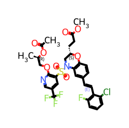 COC(=O)CC[C@H]1CN(S(=O)(=O)c2cc(C(F)(F)F)cnc2OC[C@@H](C)OC(C)=O)c2cc(/C=C/c3c(F)cccc3Cl)ccc2O1